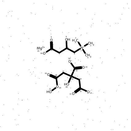 C[N+](C)(C)CC(O)CC(=O)[O-].O=C([O-])CC(O)(CC(=O)OO)C(=O)[O-].[Mg+2]